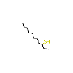 [CH2]CC(S)CCCCCCCC